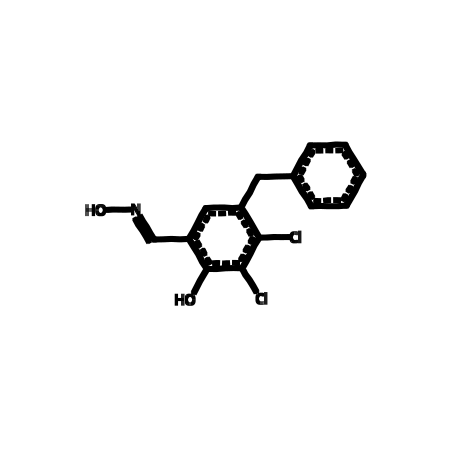 ON=Cc1cc(Cc2ccccc2)c(Cl)c(Cl)c1O